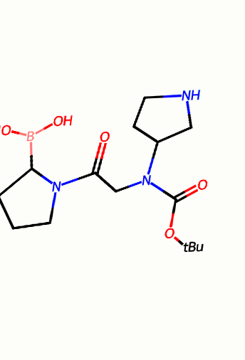 CC(C)(C)OC(=O)N(CC(=O)N1CCCC1B(O)O)C1CCNC1